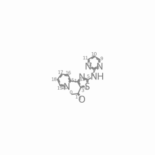 CC(=O)c1sc(Nc2ncccn2)nc1-c1ccccn1